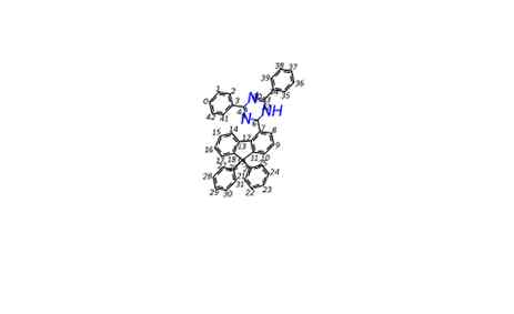 c1ccc(C2=NC(c3cccc4c3-c3ccccc3C4(c3ccccc3)c3ccccc3)NC(c3ccccc3)=N2)cc1